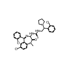 CN1C(=O)C(NC(=S)NCC(c2ccccc2Cl)N2CCCC2)N=C(c2ccccc2Cl)c2cc(Cl)ccc21